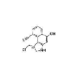 N#Cc1cccc2c(O)cc3c(c12)[C@H](CCl)CN3